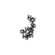 CCOc1cncc(-c2cnc(C(=O)NC(CCN3CCCC3)c3cc(NS(=O)(=O)C4CC4)ccn3)s2)n1